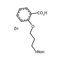 CCCCCCCCCCCCOc1ccccc1C(=O)O.[Zn]